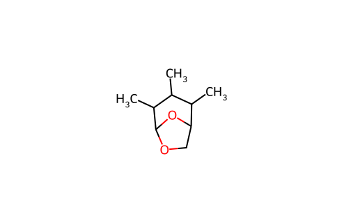 CC1C2COC(O2)C(C)C1C